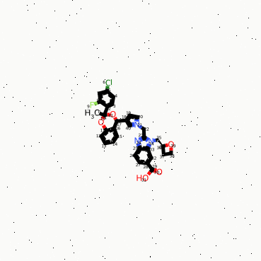 CC1(c2ccc(Cl)cc2F)Oc2ccccc2C(c2ccn(Cc3nc4ccc(C(=O)O)cc4n3C[C@@H]3CCO3)c2)O1